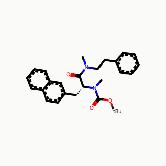 CN(CCc1ccccc1)C(=O)[C@@H](Cc1ccc2ccccc2c1)N(C)C(=O)OC(C)(C)C